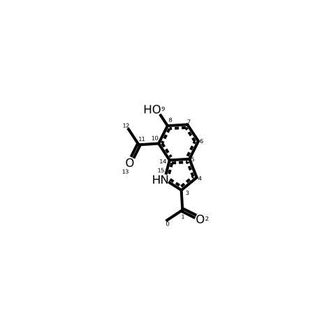 CC(=O)c1cc2ccc(O)c(C(C)=O)c2[nH]1